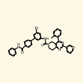 CCc1cc(NC(=O)N2CCc3nc(-c4cccnc4)nc(-c4ccccc4C)c3C2)cc(-c2ccc(C(=O)Nc3ccccc3)cc2)c1